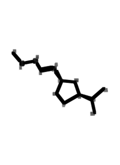 COO/C=N/[C@@H]1CC[C@H](C(C)C)C1